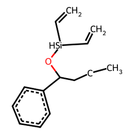 C=C[SiH](C=C)OC(CCC)c1ccccc1